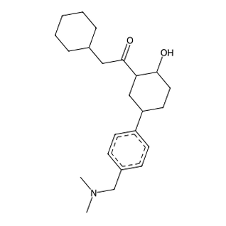 CN(C)Cc1ccc(C2CCC(O)C(C(=O)CC3CCCCC3)C2)cc1